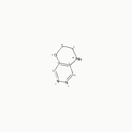 c1nncc2c1NCCO2